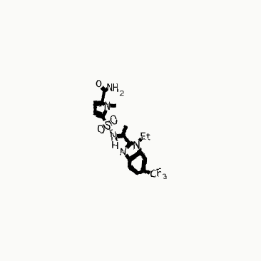 CCn1c(C(C)NS(=O)(=O)c2ccc(C(N)=O)n2C)nc2ccc(C(F)(F)F)cc21